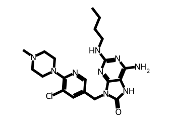 CCCCNc1nc(N)c2[nH]c(=O)n(Cc3cnc(N4CCN(C)CC4)c(Cl)c3)c2n1